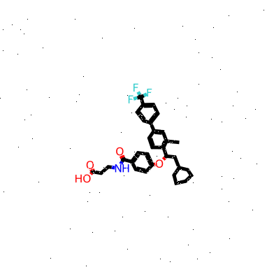 Cc1cc(-c2ccc(C(F)(F)F)cc2)ccc1C(CC1CCCCC1)Oc1ccc(C(=O)NCCC(=O)O)cc1